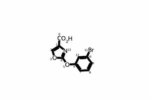 O=C(O)c1coc(Oc2cccc(Br)c2)n1